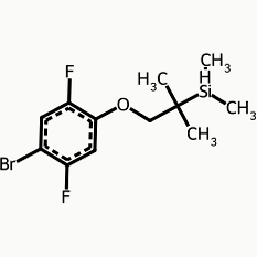 C[SiH](C)C(C)(C)COc1cc(F)c(Br)cc1F